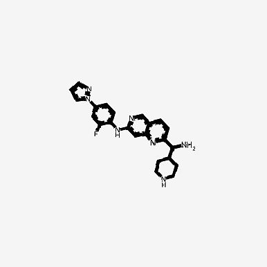 NC(c1ccc2cnc(Nc3ccc(-n4cccn4)cc3F)cc2n1)C1CCNCC1